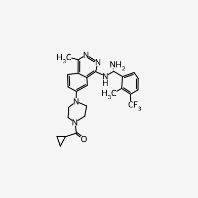 Cc1c([C@@H](N)Nc2nnc(C)c3ccc(N4CCN(C(=O)C5CC5)CC4)cc23)cccc1C(F)(F)F